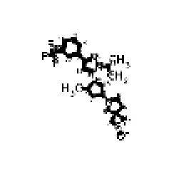 CC1CC(N2CCC3(C2)C[S+]([O-])C3)C[C@H]1c1cc(-c2cccc(C(F)(F)F)c2)nn1C(C)C